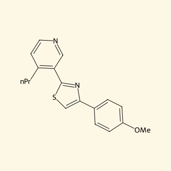 CCCc1ccncc1-c1nc(-c2ccc(OC)cc2)cs1